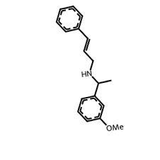 COc1cccc(C(C)NCC=Cc2ccccc2)c1